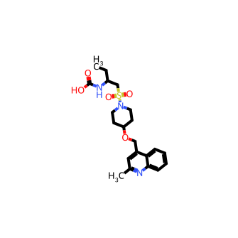 CCC(CS(=O)(=O)N1CCC(OCc2cc(C)nc3ccccc23)CC1)NC(=O)O